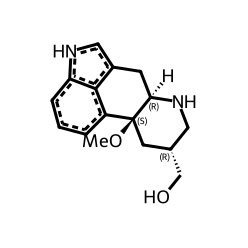 CO[C@]12C[C@@H](CO)CN[C@@H]1Cc1c[nH]c3cccc2c13